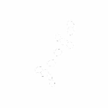 c1ccc2cc(-c3c4ccccc4c(-c4ccc(-c5ccc(-c6c7ccccc7cc7c6oc6ccccc67)cc5)cc4)c4ccccc34)ccc2c1